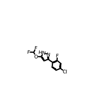 Fc1cc(Cl)ccc1-c1cc(OC(F)F)[nH]n1